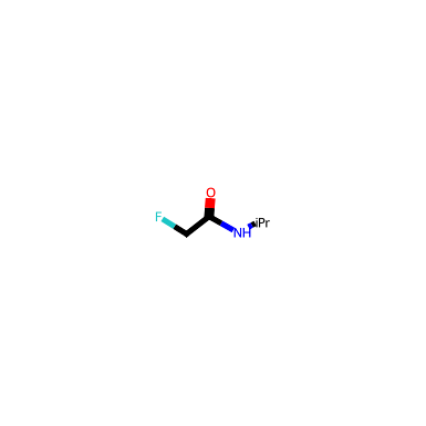 CC(C)NC(=O)[CH]F